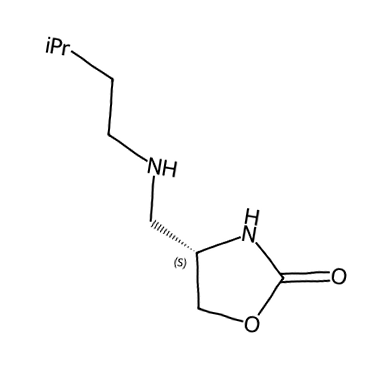 CC(C)CCNC[C@H]1COC(=O)N1